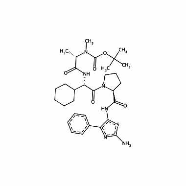 C[C@@H](C(=O)N[C@H](C(=O)N1CCC[C@H]1C(=O)Nc1sc(N)nc1-c1ccccc1)C1CCCCC1)N(C)C(=O)OC(C)(C)C